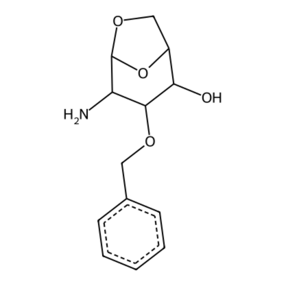 NC1C2OCC(O2)C(O)C1OCc1ccccc1